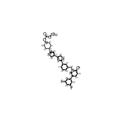 CC(C)(C)OC(=O)ON1CCC(n2cc(-c3cnc(-c4cccc(Cn5nc(-c6cc(F)cc(F)c6)ccc5=O)c4)s3)cn2)CC1